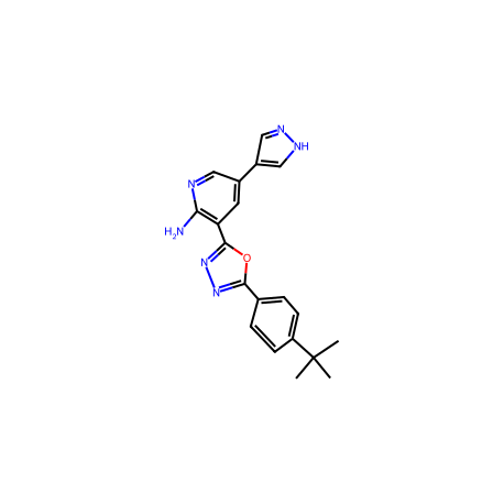 CC(C)(C)c1ccc(-c2nnc(-c3cc(-c4cn[nH]c4)cnc3N)o2)cc1